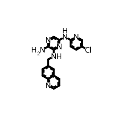 Nc1ncc(Nc2ccc(Cl)cn2)nc1NCc1ccc2ncccc2c1